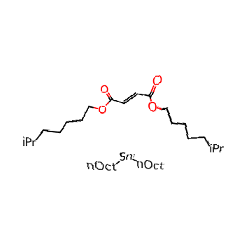 CC(C)CCCCCOC(=O)C=CC(=O)OCCCCCC(C)C.CCCCCCC[CH2][Sn][CH2]CCCCCCC